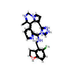 CC1=NCn2ccc3c2C1=c1cccnc1=C(NCc1c(F)ccc2c1CCO2)n1cnnc1-3